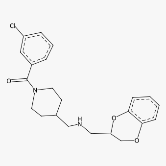 O=C(c1cccc(Cl)c1)N1CCC(CNCC2COc3ccccc3O2)CC1